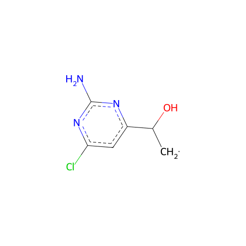 [CH2]C(O)c1cc(Cl)nc(N)n1